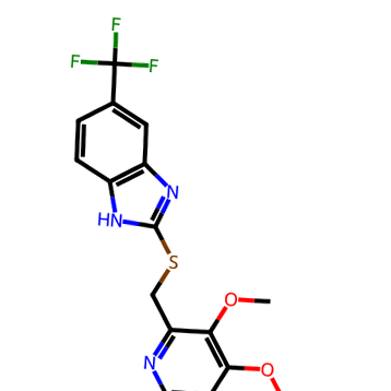 COc1ccnc(CSc2nc3cc(C(F)(F)F)ccc3[nH]2)c1OC